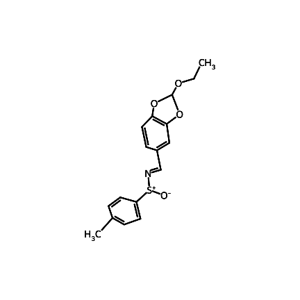 CCOC1Oc2ccc(C=N[S+]([O-])c3ccc(C)cc3)cc2O1